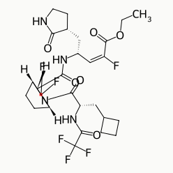 CCOC(=O)/C(F)=C\[C@@H](C[C@H]1CCNC1=O)NC(=O)[C@H]1[C@H]2CC[C@H](CC2(F)F)N1C(=O)[C@H](CC1CCC1)NC(=O)C(F)(F)F